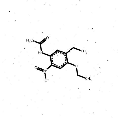 CCOc1cc([N+](=O)[O-])c(NC(C)=O)cc1CC